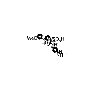 CC(=O)O.CCOC(C(=O)NCc1ccc(C(=N)N)cc1)n1cccc(Nc2cccc(OC)c2)c1=O